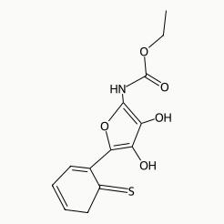 CCOC(=O)Nc1oc(C2=CC=CCC2=S)c(O)c1O